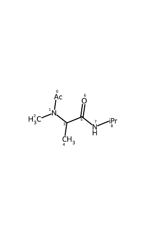 CC(=O)N(C)C(C)C(=O)NC(C)C